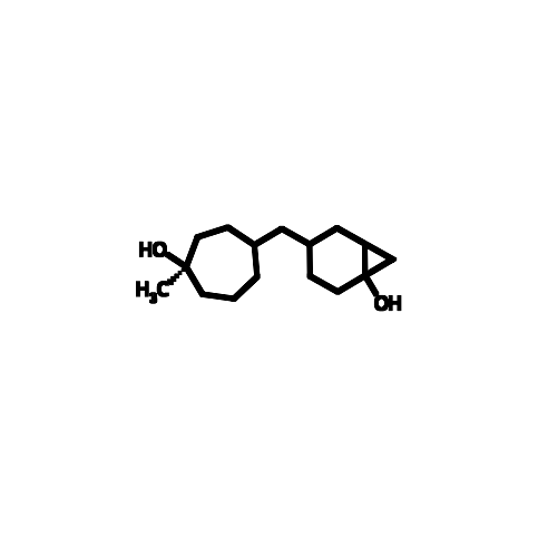 C[C@@]1(O)CCCC(CC2CCC3(O)CC3C2)CC1